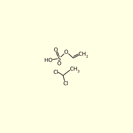 C=COS(=O)(=O)O.CC(Cl)Cl